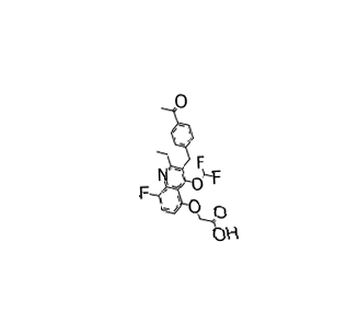 CCc1nc2c(F)ccc(OCC(=O)O)c2c(OC(F)F)c1Cc1ccc(C(C)=O)cc1